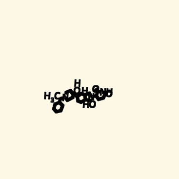 CC(C1CCCCC1)N1CCC(O)(C2CC[C@H]3C(=O)N(C4CCC(=O)NC4=O)C[C@H]3C2)CC1